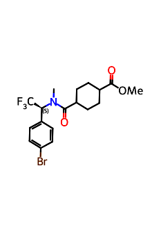 COC(=O)C1CCC(C(=O)N(C)[C@@H](c2ccc(Br)cc2)C(F)(F)F)CC1